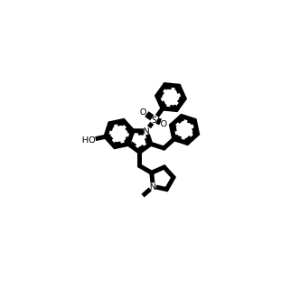 CN1CCCC1Cc1c(Cc2ccccc2)n(S(=O)(=O)c2ccccc2)c2ccc(O)cc12